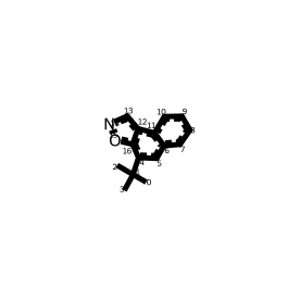 CC(C)(C)c1cc2ccccc2c2cnoc12